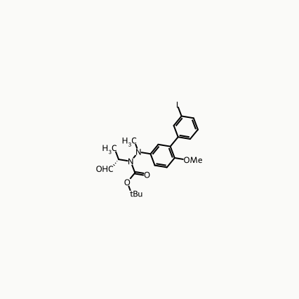 COc1ccc(N(C)N(C(=O)OC(C)(C)C)[C@@H](C)C=O)cc1-c1cccc(I)c1